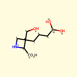 O=C(O)C1NCC1(CO)CCCB(O)O